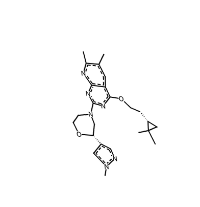 Cc1cc2c(OCC[C@@H]3CC3(C)C)nc(N3CCO[C@@H](c4cnn(C)c4)C3)nc2nc1C